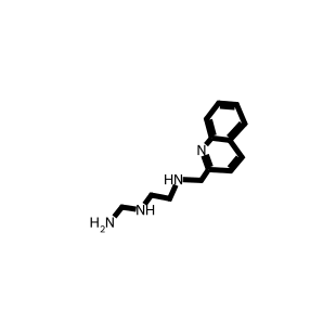 NCNCCNCc1ccc2ccccc2n1